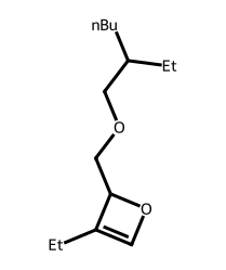 CCCCC(CC)COCC1OC=C1CC